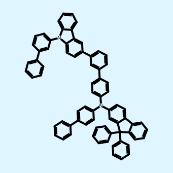 c1ccc(-c2ccc(N(c3ccc(-c4cccc(-c5ccc6c(c5)c5ccccc5n6-c5cccc(-c6ccccc6)c5)c4)cc3)c3ccc4c(c3)C(c3ccccc3)(c3ccccc3)c3ccccc3-4)cc2)cc1